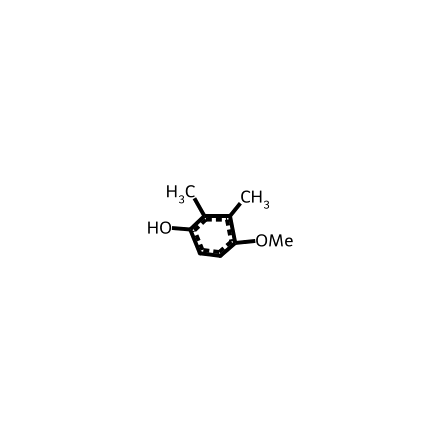 COc1ccc(O)c(C)c1C